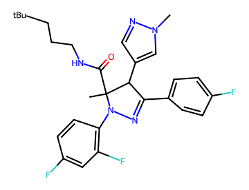 Cn1cc(C2C(c3ccc(F)cc3)=NN(c3ccc(F)cc3F)C2(C)C(=O)NCCCC(C)(C)C)cn1